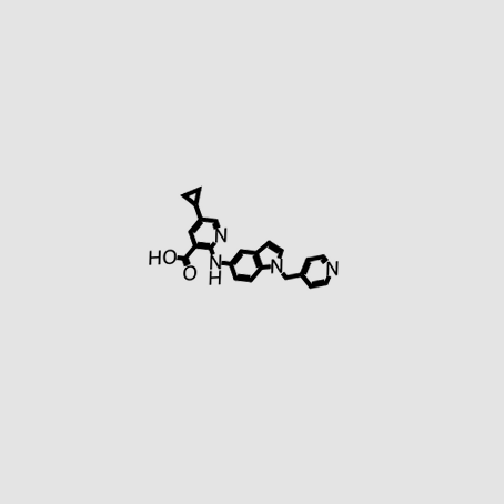 O=C(O)c1cc(C2CC2)cnc1Nc1ccc2c(ccn2Cc2ccncc2)c1